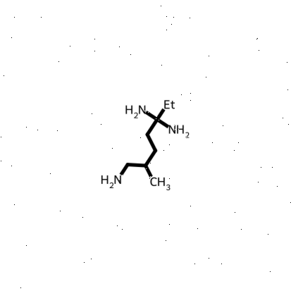 CCC(N)(N)CCC(C)CN